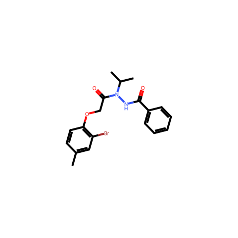 Cc1ccc(OCC(=O)N(NC(=O)c2ccccc2)C(C)C)c(Br)c1